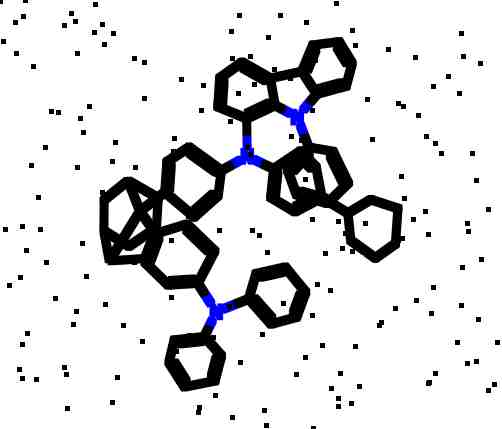 c1ccc(N(c2ccccc2)c2ccc(C3(c4ccc(N(c5ccc(C6CCCCC6)cc5)c5cccc6c7ccccc7n(-c7ccccc7)c56)cc4)C4CC5CC(C4)C3C5)cc2)cc1